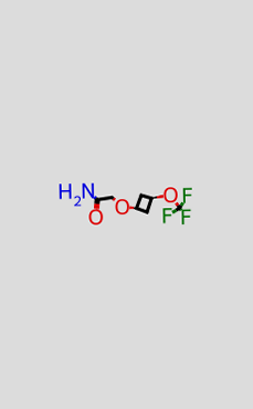 NC(=O)CO[C@H]1C[C@@H](OC(F)(F)F)C1